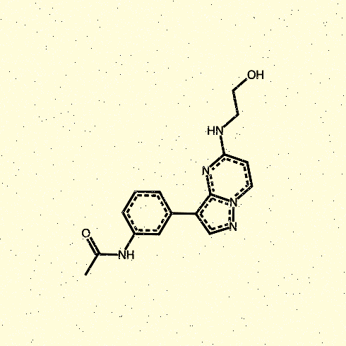 CC(=O)Nc1cccc(-c2cnn3ccc(NCCO)nc23)c1